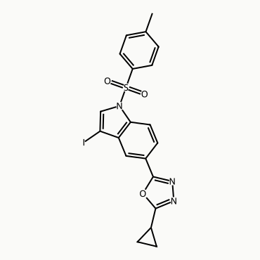 Cc1ccc(S(=O)(=O)n2cc(I)c3cc(-c4nnc(C5CC5)o4)ccc32)cc1